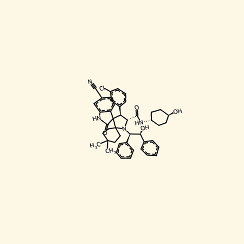 CC1(C)CCC2(CC1)N([C@H](c1ccccc1)[C@@H](O)c1ccccc1)[C@@H](C(=O)N[C@H]1CC[C@H](O)CC1)[C@H](c1cccc(Cl)c1)C21C(=O)Nc2cc(C#N)ccc21